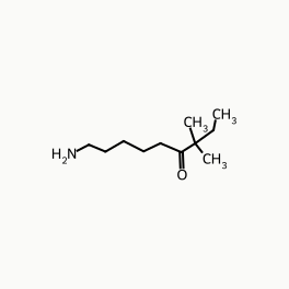 CCC(C)(C)C(=O)CCCCCN